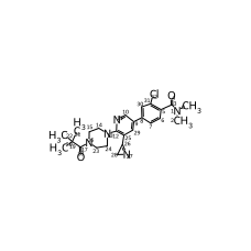 CN(C)C(=O)c1ccc(-c2cnc(N3CCN(C(=O)C(C)(C)C)CC3)c(C3=NC3)c2)cc1Cl